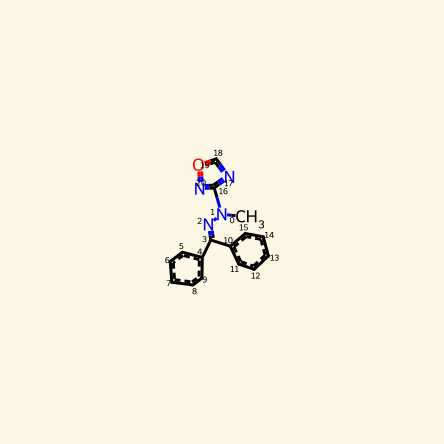 CN(N=C(c1ccccc1)c1ccccc1)c1ncon1